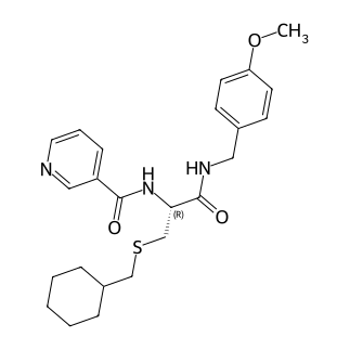 COc1ccc(CNC(=O)[C@H](CSCC2CCCCC2)NC(=O)c2cccnc2)cc1